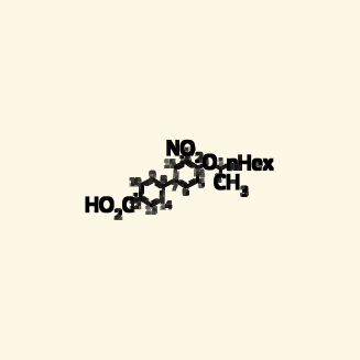 CCCCCCC(C)Oc1ccc(-c2ccc(C(=O)O)cc2)cc1[N+](=O)[O-]